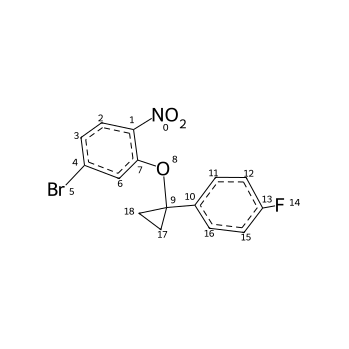 O=[N+]([O-])c1ccc(Br)cc1OC1(c2ccc(F)cc2)CC1